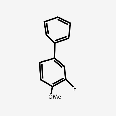 COc1ccc(-c2ccccc2)cc1F